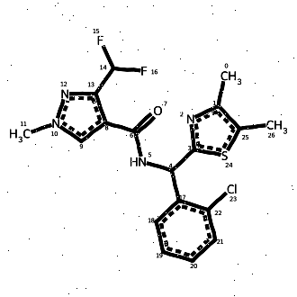 Cc1nc(C(NC(=O)c2cn(C)nc2C(F)F)c2ccccc2Cl)sc1C